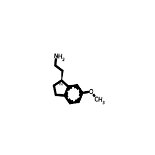 COc1ccc2c(c1)[C@H](CCN)CC2